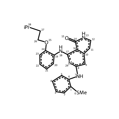 CSc1ccccc1Nc1cc2cc[nH]c(=O)c2c(Nc2ccccc2OCCC(C)C)n1